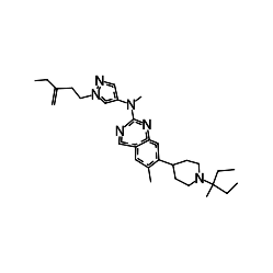 C=C(CC)CCn1cc(N(C)c2ncc3cc(C)c(C4CCN(C(C)(CC)CC)CC4)cc3n2)cn1